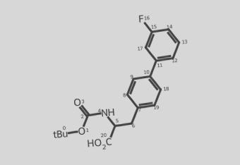 CC(C)(C)OC(=O)NC(Cc1ccc(-c2cccc(F)c2)cc1)C(=O)O